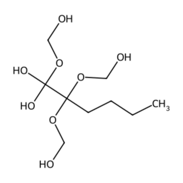 CCCCC(OCO)(OCO)C(O)(O)OCO